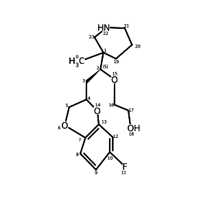 CC1([C@H](CC2COc3ccc(F)cc3O2)OCCO)CCCNC1